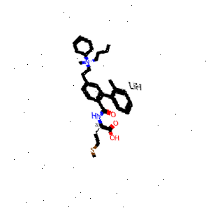 CCCC[N+](C)(CCc1ccc(C(=O)N[C@@H](CCSC)C(=O)O)c(-c2ccccc2C)c1)C1CCCCC1.[LiH]